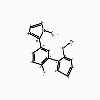 CCSc1ccccc1-c1cc(-c2nccn2C)ccc1F